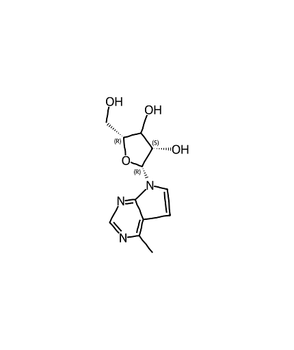 Cc1ncnc2c1ccn2[C@@H]1O[C@H](CO)C(O)[C@@H]1O